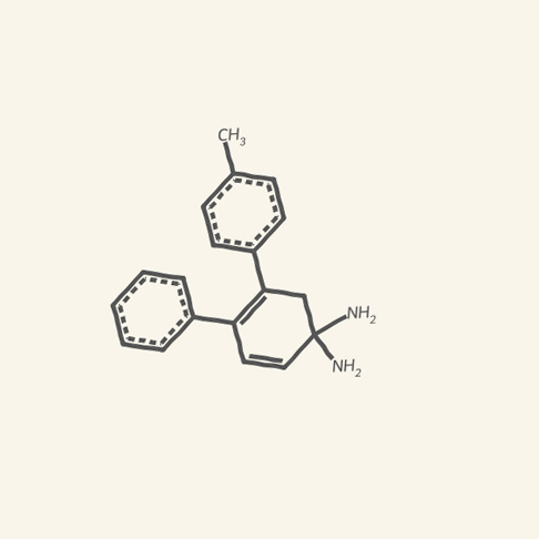 Cc1ccc(C2=C(c3ccccc3)C=CC(N)(N)C2)cc1